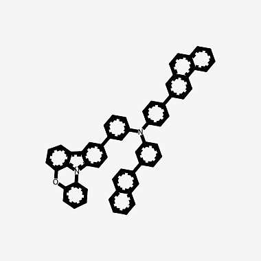 c1cc(-c2ccc3ccccc3c2)cc(N(c2ccc(-c3ccc4c(ccc5ccccc54)c3)cc2)c2cccc(-c3ccc4c(c3)c3cccc5c3n4-c3ccccc3O5)c2)c1